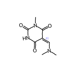 CN(C)/C=C1\C(=O)NC(=O)N(C)C1=O